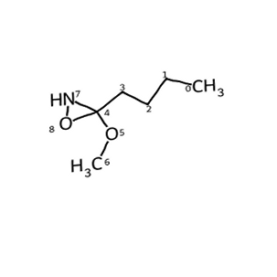 CCCCC1(OC)NO1